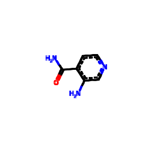 NC(=O)c1ccncc1N